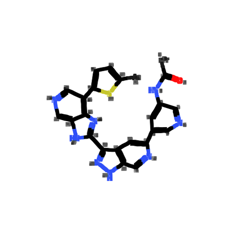 CCCC(=O)Nc1cncc(-c2cc3c(-c4nc5c(-c6ccc(C(C)=O)s6)cncc5[nH]4)n[nH]c3cn2)c1